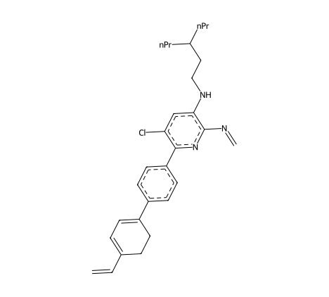 C=CC1=CC=C(c2ccc(-c3nc(N=C)c(NCCC(CCC)CCC)cc3Cl)cc2)CC1